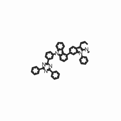 C=Nc1c(/C=C\C)c2ccc(-c3cccc4c3c3ccccc3n4-c3cccc(-c4nc(-c5ccccc5)nc(-c5ccccc5)n4)c3)cc2n1-c1ccccc1